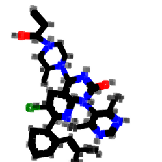 BC(B)=Cc1ccccc1-c1nc2c(cc1Cl)c(N1CCN(C(=O)C=C)C[C@@H]1C)nc(=O)n2-c1c(C(C)C)ncnc1C(C)C